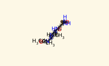 COc1ccc(CN(C)CCCN2CCN(CCCN(CCNC(=O)CCCCC3SCC4NC(=O)NC43)CC(C)C)CC2)cc1